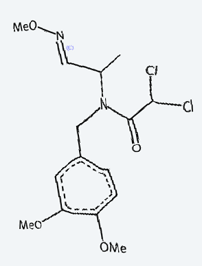 CO/N=C/C(C)N(Cc1ccc(OC)c(OC)c1)C(=O)C(Cl)Cl